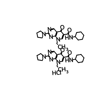 CCn1cc(C(=O)NC2CCCCC2)c(=O)c2cnc(N3CCCC3)nc21.CCn1cc(C(=O)NC2CCCCC2)c(=O)c2cnc(N3CCCC3)nc21.Cl